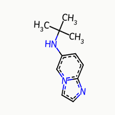 CC(C)(C)Nc1ccc2nccn2c1